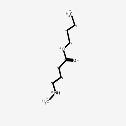 CCCCOC(=O)CCCNC